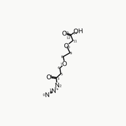 [N-]=[N+]=NC(=O)CCOCCOCC(=O)O